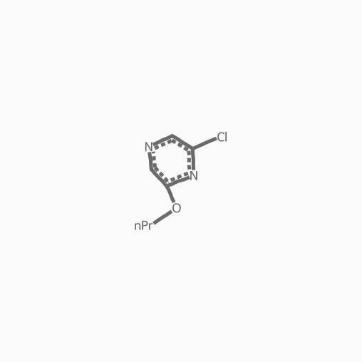 C[CH]COc1cncc(Cl)n1